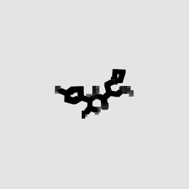 CCC(CN1CCC1)C(=O)N[C@H](c1ccc(F)cc1)C(F)F